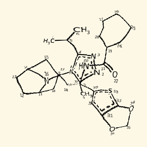 Cc1nnc(C(C)C)n1C1CC2CCC(C1)N2CC[C@H](NC(=O)C1CCCCC1)c1cc2c(s1)OCO2